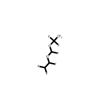 FC(OC(F)C(F)F)OC(F)(F)C(F)(F)F